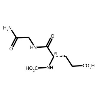 NC(=O)CNC(=O)[C@H](CCC(=O)O)NC(=O)O